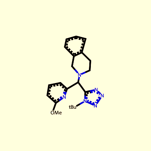 COc1cccc(C(c2nnnn2C(C)(C)C)N2CCc3ccccc3C2)n1